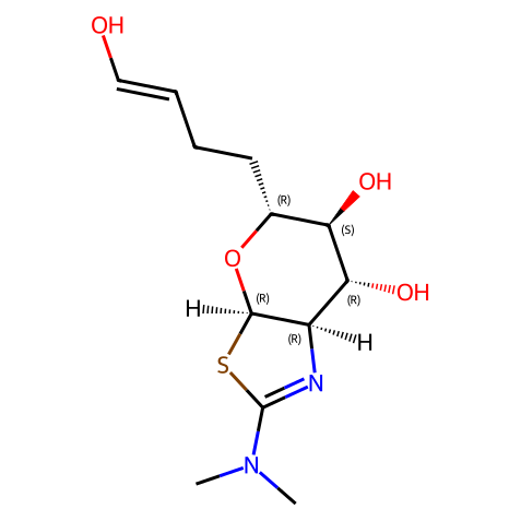 CN(C)C1=N[C@@H]2[C@@H](O)[C@H](O)[C@@H](CCC=CO)O[C@@H]2S1